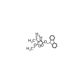 CCOC(=O)[C@@H](NC(=O)OCC1c2ccccc2-c2ccccc21)C(C)C